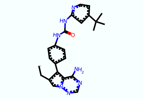 [CH2]Cc1cn2ncnc(N)c2c1-c1ccc(NC(=O)Nc2cc(C(C)(C)C)ccn2)cc1